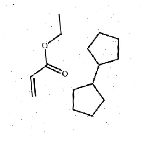 C1CCC(C2CCCC2)C1.C=CC(=O)OCC